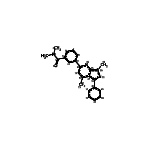 CN(C)C(=O)c1cccc(-c2cc(C(F)(F)F)c3c(-c4ccccc4)nn(C)c3n2)c1